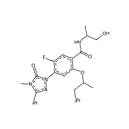 CC(C)CC(C)Oc1cc(-n2nc(C(C)C)n(C)c2=O)c(F)cc1C(=O)NC(C)CO